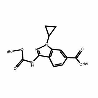 COC(=O)c1ccc2c(NC(=O)OC(C)(C)C)nn(C3CC3)c2c1